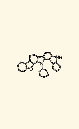 c1ccc(-n2c3c(ccc4c5ccccc5oc43)c3ccc4[nH]c5ccccc5c4c32)cc1